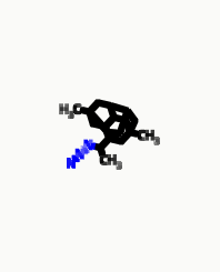 CC(N=[N+]=[N-])C12CC3(C)CC4C5CC(C)(CC41)CC2C5C3